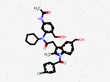 CC(=O)Nc1ccc(CO)c(N(C(=O)Cc2c(C)n(C(=O)c3ccc(Cl)cc3)c3ccc(CO)cc23)C2CCCCC2)c1